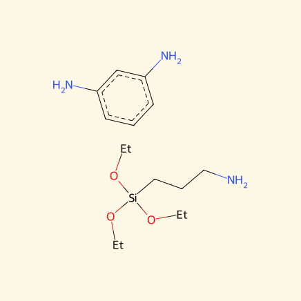 CCO[Si](CCCN)(OCC)OCC.Nc1cccc(N)c1